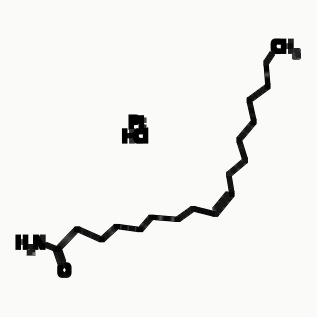 CCCCCCCC/C=C\CCCCCCCC(N)=O.Cl.[Pt]